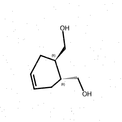 OC[C@@H]1CC=CC[C@H]1CO